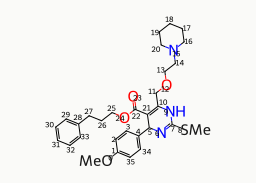 COc1ccc(C2N=C(SC)NC(COCCN3CCCCC3)=C2C(=O)OCCCc2ccccc2)cc1